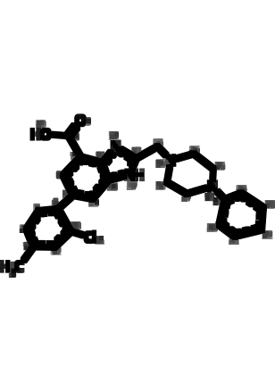 Cc1ccc(-c2cc(C(=O)O)c3nc(CN4CCN(c5ccccc5)CC4)[nH]c3c2)c(Cl)c1